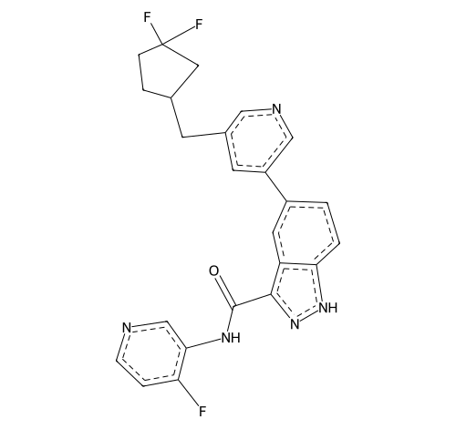 O=C(Nc1cnccc1F)c1n[nH]c2ccc(-c3cncc(CC4CCC(F)(F)C4)c3)cc12